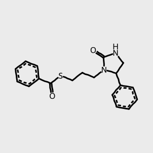 O=C(SCCCN1C(=O)NCC1c1ccccc1)c1ccccc1